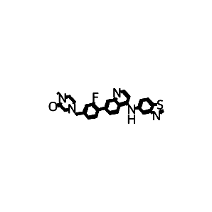 CN1CCN(Cc2ccc(-c3ccc4c(Nc5ccc6scnc6c5)ccnc4c3)c(F)c2)CC1=O